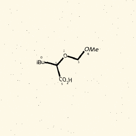 CCC(C)C(OCOC)C(=O)O